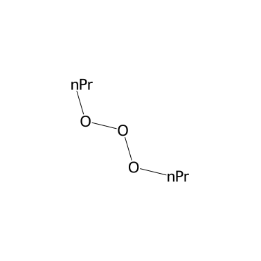 CCCOOOCCC